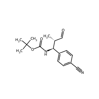 C[C@H](C=O)[C@H](NC(=O)OC(C)(C)C)c1ccc(C#N)cc1